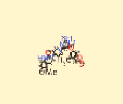 COc1ccc2c(c1)CCN(C1CCN(c3cc(Oc4cc(C)c5c(c4)OC(=O)C5)nc(N)n3)CC1)C(=O)N2